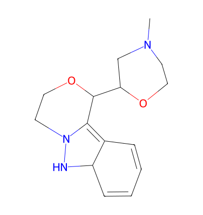 CN1CCOC(C2OCCN3NC4C=CC=CC4=C23)C1